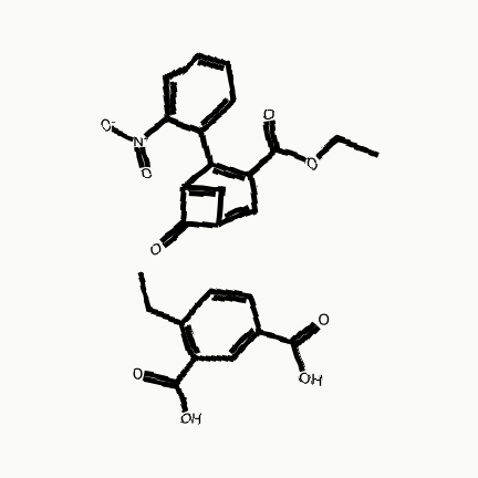 CCOC(=O)c1cc2cc(c1-c1ccccc1[N+](=O)[O-])C2=O.CCc1ccc(C(=O)O)cc1C(=O)O